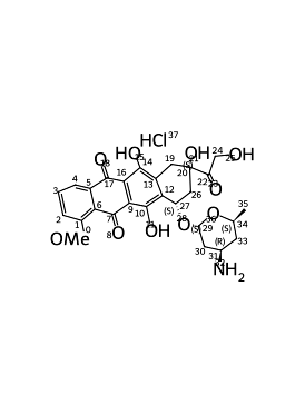 COc1cccc2c1C(=O)c1c(O)c3c(c(O)c1C2=O)C[C@@](O)(C(=O)CO)C[C@@H]3O[C@H]1C[C@H](N)C[C@H](C)O1.Cl